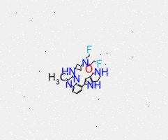 Cc1nc2cccc(-c3cc4c([nH]3)CCNC4=O)c2nc1NC1CC(N(CCF)CCF)C1